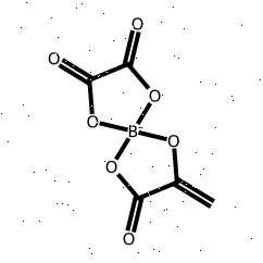 C=C1O[B-]2(OC1=O)OC(=O)C(=O)O2